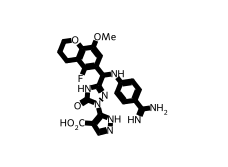 COc1cc(C(Nc2ccc(C(=N)N)cc2)c2nn(-c3[nH]ncc3C(=O)O)c(=O)[nH]2)c(F)c2c1OCCC2